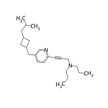 CCCN(CC#Cc1ccc(CC2CC(CC(C)C)C2)cn1)CCC